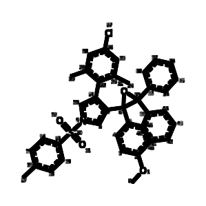 COc1ccc(C2(c3cn(S(=O)(=O)c4ccc(C)cc4)cc3-c3c(C)cc(Cl)cc3C)OC2(c2ccccc2)c2ccccc2)cc1